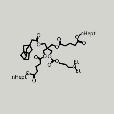 CCCCCCCOC(=O)CCCC(=O)OCC(COC(=O)CCCC(=O)OCCCCCCC)(COC(=O)CC12CC3CC4CC3(C1)C4C2)COC(=O)OCCCN(CC)CC